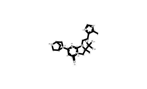 Cc1ncsc1CCN1c2nc(N3CC4CC3CO4)cc(=O)n2CC1(C)C(F)(F)F